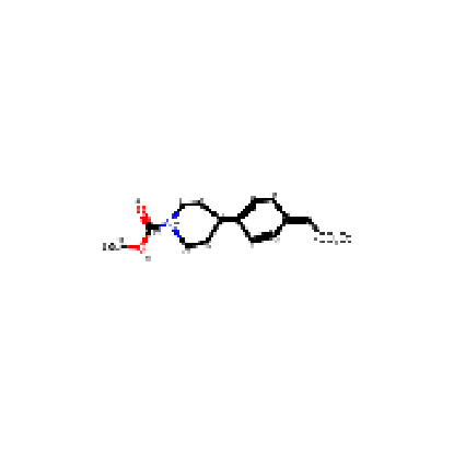 CCOC(=O)C=C1C=CC(C2CCN(C(=O)OC(C)(C)C)CC2)=CC1